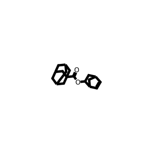 O=C(OC1CC2C=CC1C2)C12CC3CC(CC(C3)C1)C2